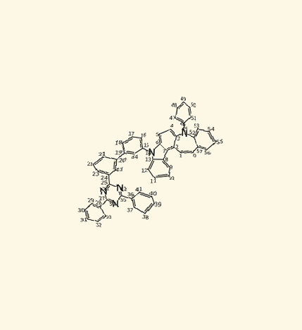 C1=Cc2c(ccc3c2c2ccccc2n3-c2cccc(-c3cccc(-c4nc(-c5ccccc5)nc(-c5ccccc5)n4)c3)c2)N(c2ccccc2)c2ccccc21